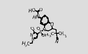 CCn1cc(S(=O)(=O)N2CC(CC(C)(C)C#N)Oc3ccc(NC(=O)O)cc32)c(Cl)n1